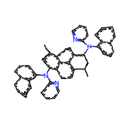 Cc1cc(N(c2ccccn2)c2cccc3ccccc23)c2ccc3c4c(ccc1c24)=C(N(c1ccccn1)c1cccc2ccccc12)CC3C